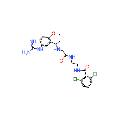 N=C(N)Nc1ccc2c(c1)C(NCC(=O)NCCNC(=O)c1c(Cl)cccc1Cl)CCO2